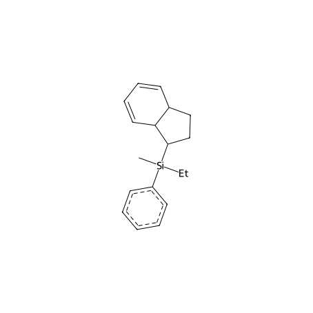 CC[Si](C)(c1ccccc1)C1CCC2C=CC=CC21